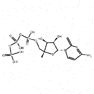 C=C1N=C(N)C=CN1[C@@H]1O[C@](C)(COP(=O)(O)OP(=O)(O)OP(=O)(O)O)[C@@H](O)[C@H]1O